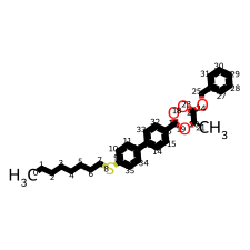 CCCCCCCCSc1ccc(-c2ccc(C(=O)O[C@@H](C)C(=O)OCc3ccccc3)cc2)cc1